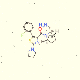 NC[C@H]1[C@@H]2CC[C@@H](C2)N1C(=O)c1nc(N2CCCC2)sc1-c1ccccc1F